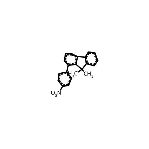 CC1(C)c2ccccc2-c2cccc(-c3ccc([N+](=O)[O-])cc3)c21